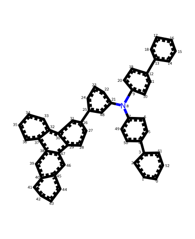 c1ccc(-c2ccc(N(c3ccc(-c4ccccc4)cc3)c3cccc(-c4ccc5c(c4)c4ccccc4c4cc6ccccc6cc54)c3)cc2)cc1